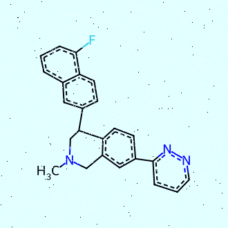 CN1Cc2cc(-c3cccnn3)ccc2C(c2ccc3c(F)cccc3c2)C1